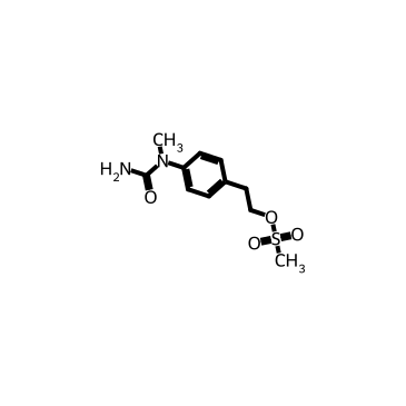 CN(C(N)=O)c1ccc(CCOS(C)(=O)=O)cc1